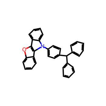 c1ccc(C(c2ccccc2)c2ccc(-n3c4ccccc4c4oc5ccccc5c43)cc2)cc1